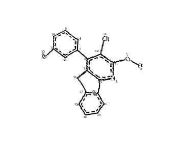 CCOc1nc2c(c(-c3cccc(Br)c3)c1C#N)Cc1ccccc1-2